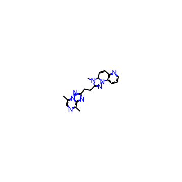 Cc1ncc(C)n2nc(CCC3=NN4c5cccnc5C=CC4N3C)nc12